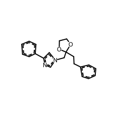 c1ccc(CCC2(Cn3cnc(-c4ccccc4)c3)OCCO2)cc1